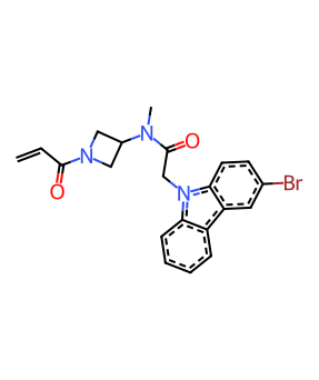 C=CC(=O)N1CC(N(C)C(=O)Cn2c3ccccc3c3cc(Br)ccc32)C1